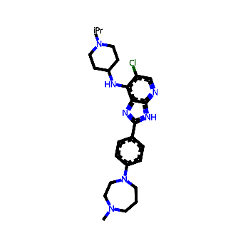 CC(C)N1CCC(Nc2c(Cl)cnc3[nH]c(-c4ccc(N5CCCN(C)CC5)cc4)nc23)CC1